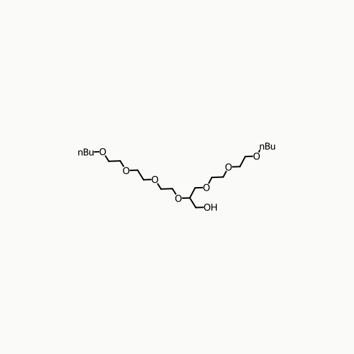 CCCCOCCOCCOCCOC(CO)COCCOCCOCCCC